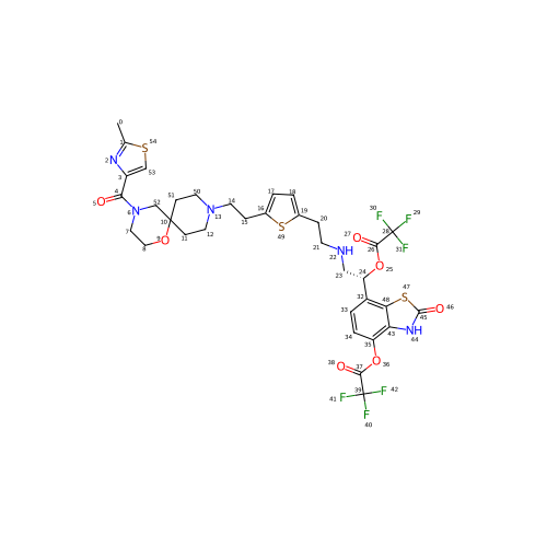 Cc1nc(C(=O)N2CCOC3(CCN(CCc4ccc(CCNC[C@H](OC(=O)C(F)(F)F)c5ccc(OC(=O)C(F)(F)F)c6[nH]c(=O)sc56)s4)CC3)C2)cs1